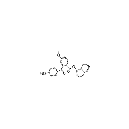 COc1ccc(C(=O)Oc2cccc3ccccc23)c(C(=O)c2ccc(O)cc2)c1